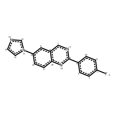 Fc1ccc(-c2ncc3cc(-n4ccnc4)ccc3n2)cc1